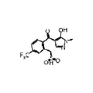 Cn1ncc(C(=O)c2ccc(C(F)(F)F)cc2C[SH](=O)=O)c1O